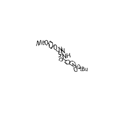 COc1ccc(OCc2nnc(NC(=O)c3ccc4c(c3)CCN(C(=O)OC(C)(C)C)C4)s2)cc1